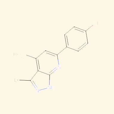 CCc1n[nH]c2nc(-c3ccc(O)cc3)cc(C(=O)O)c12